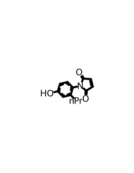 CCCc1cc(O)ccc1N1C(=O)C=CC1=O